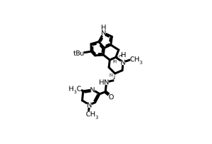 CC1=NC(C(=O)NC[C@@H]2CC3c4cc(C(C)(C)C)cc5[nH]cc(c45)C[C@H]3N(C)C2)=CN(C)C1